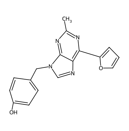 Cc1nc(-c2ccco2)c2ncn(Cc3ccc(O)cc3)c2n1